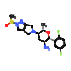 C[S+]([O-])n1cc2c(n1)CN([C@@H]1C[C@H](N)[C@@H](c3cc(F)ccc3F)O[C@H]1C(F)(F)F)C2